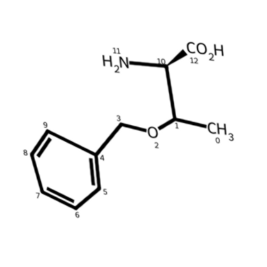 CC(OCc1ccccc1)[C@@H](N)C(=O)O